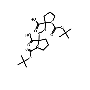 CC(C)(C)OC(=O)N1CCCC1(SSC1(C(=O)O)CCCN1C(=O)OC(C)(C)C)C(=O)O